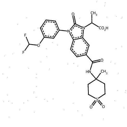 CC(C(=O)O)n1c(=O)n(-c2cccc(OC(F)F)c2)c2ccc(C(=O)NC3(C)CCS(=O)(=O)CC3)cc21